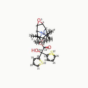 [2H]C1([2H])C2C3OC3C(C([2H])([2H])C1([2H])OC(=O)C(O)(c1cccs1)c1cccs1)[N+]2(C([2H])([2H])[2H])C([2H])([2H])[2H]